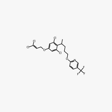 C[C](CCCOc1ccc(C(F)(F)F)cn1)c1c(Cl)cc(OCC=C(Cl)Cl)cc1Cl